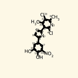 Cc1nc(Cl)c(-c2nc(-c3cc(O)c(O)c([N+](=O)[O-])c3)cs2)c(C)c1Cl